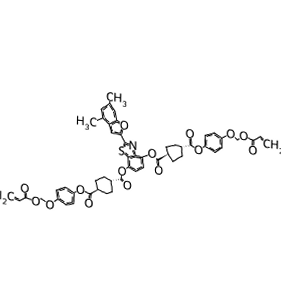 C=CC(=O)OCOc1ccc(OC(=O)[C@H]2CC[C@H](C(=O)Oc3ccc(OC(=O)[C@H]4CC[C@H](C(=O)Oc5ccc(OCOC(=O)C=C)cc5)CC4)c4sc(-c5cc6c(C)cc(C)cc6o5)nc34)CC2)cc1